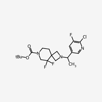 CC(c1cnc(Cl)c(F)c1)N1CC2(CCN(C(=O)OC(C)(C)C)CC2(F)F)C1